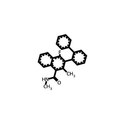 CNC(=O)c1c(C)c(-c2ccccc2-c2ccccc2)c(F)c2ccccc12